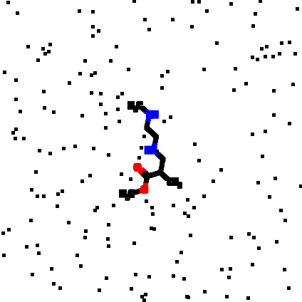 CNCCNCC(C)C(=O)OC